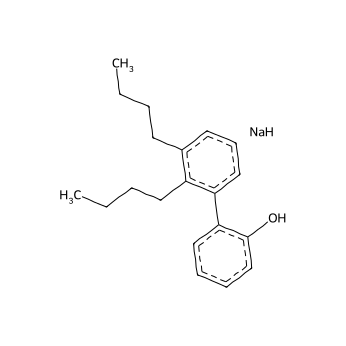 CCCCc1cccc(-c2ccccc2O)c1CCCC.[NaH]